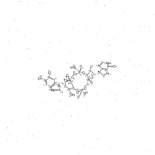 O=c1[nH]cnc2c1ncn2[C@@H]1O[C@@H]2COP(=O)(S)OC3C(O)[C@H](n4cnc5cc(Cl)c(Cl)cc54)O[C@@H]3COP(=O)(S)OC2C1F